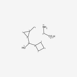 CC1CC1C(O)C1CCC1.NCC(=O)O